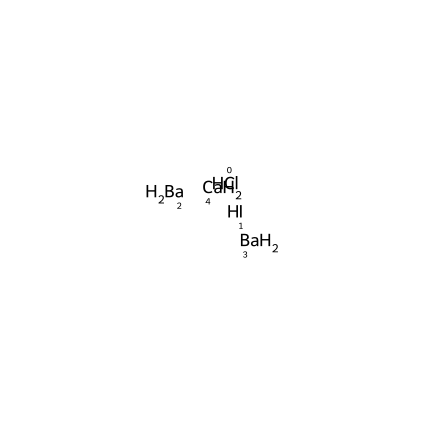 Cl.I.[BaH2].[BaH2].[CaH2]